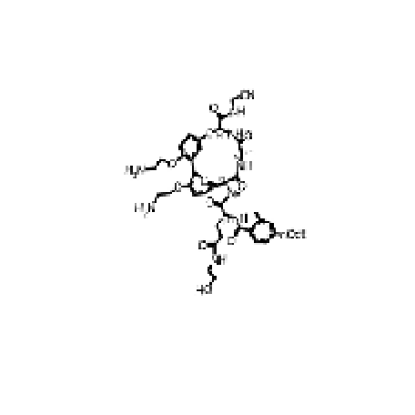 CCCCCCCCc1ccc(C(=O)N[C@@H](CCC(=O)NCCO)C(=O)N(C)[C@@H]2C(=O)N[C@@H](C)C(=O)N[C@H](C(=O)NCC#N)Cc3ccc(OCCN)c(c3)-c3cc2ccc3OCCN)c(C)c1